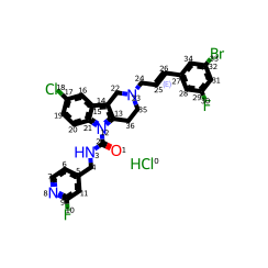 Cl.O=C(NCc1ccnc(F)c1)n1c2c(c3cc(Cl)ccc31)CN(C/C=C/c1cc(F)cc(Br)c1)CC2